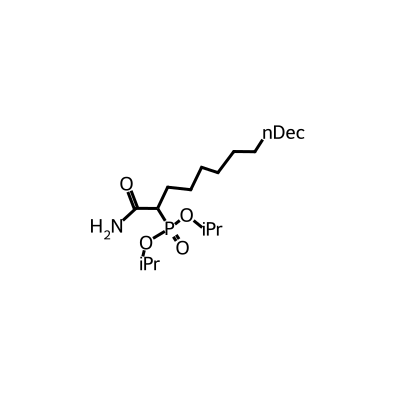 CCCCCCCCCCCCCCCCC(C(N)=O)P(=O)(OC(C)C)OC(C)C